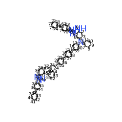 N=C1C=CC(N(c2ccccc2)c2ccc(-c3ccc(-c4ccc(CCC(Cc5ccc6nn(-c7ccc(-c8ccccc8)cc7)nc6c5)c5ccccc5)cc4)cc3)cc2)=C/C1=N/Nc1ccc(-c2ccccc2)cc1